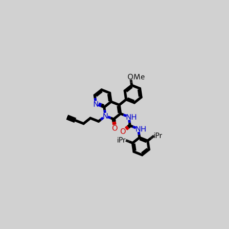 C#CCCCn1c(=O)c(NC(=O)Nc2c(C(C)C)cccc2C(C)C)c(-c2cccc(OC)c2)c2cccnc21